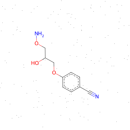 N#Cc1ccc(OCC(O)CON)cc1